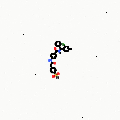 CCS(=O)(=O)c1ccc(CC(=O)Nc2ccc(C(=O)N(C)C(c3ccccc3)c3ccc(C)cc3Cl)cc2)cc1